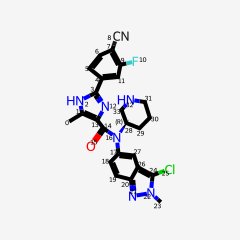 Cc1[nH]c(-c2ccc(C#N)c(F)c2)nc1C(=O)N(c1ccc2nn(C)c(Cl)c2c1)[C@@H]1CCCNC1